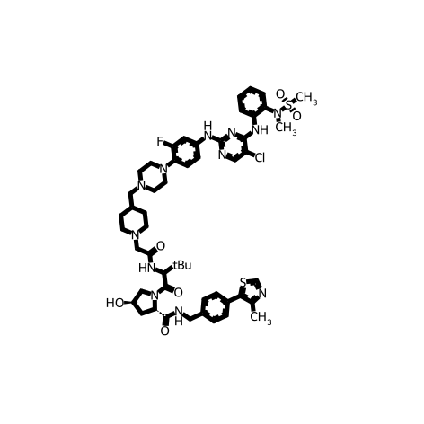 Cc1ncsc1-c1ccc(CNC(=O)[C@@H]2C[C@@H](O)CN2C(=O)C(NC(=O)CN2CCC(CN3CCN(c4ccc(Nc5ncc(Cl)c(Nc6ccccc6N(C)S(C)(=O)=O)n5)cc4F)CC3)CC2)C(C)(C)C)cc1